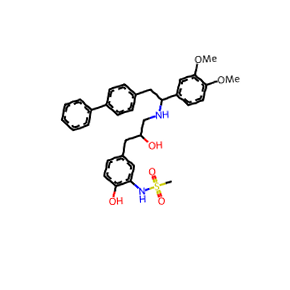 COc1ccc(C(Cc2ccc(-c3ccccc3)cc2)NCC(O)Cc2ccc(O)c(NS(C)(=O)=O)c2)cc1OC